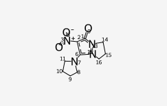 O=c1c([N+](=O)[O-])c(N2CCCC2)n2n1CCC2